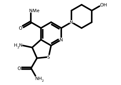 CNC(=O)c1cc(N2CCC(O)CC2)nc2c1C(N)C(C(N)=O)S2